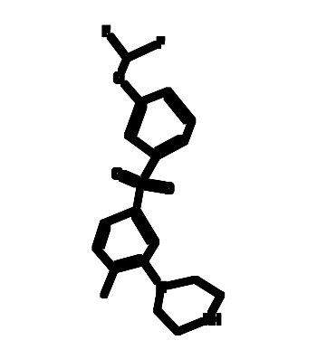 Cc1ccc(S(=O)(=O)c2cccc(OC(F)F)c2)cc1N1CCNCC1